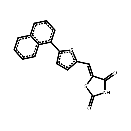 O=C1NC(=O)C(=Cc2ccc(-c3cccc4ccccc34)s2)S1